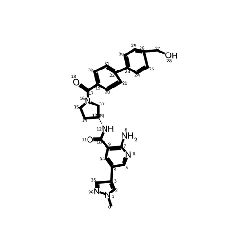 Cn1cc(-c2cnc(N)c(C(=O)N[C@@H]3CCN(C(=O)c4ccc(-c5ccc(CO)cc5)cc4)C3)c2)cn1